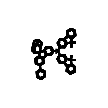 CC1(C)c2ccccc2-c2ccc(N(c3ccc4c(c3)-c3cc(-c5ccccc5)ccc3C43C4CC5CC(C4)CC3C5)c3ccc4c(c3)C(C)(C)c3ccccc3-4)cc21